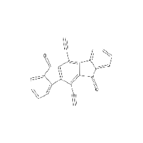 C#Cc1c2c(=O)c3ccccc3c2c(C#C)c2c(=O)c3ccccc3c12